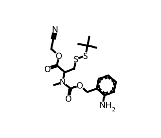 CN(C(=O)OCc1ccccc1N)C(CSSC(C)(C)C)C(=O)OCC#N